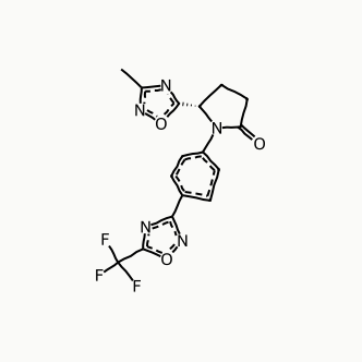 Cc1noc([C@@H]2CCC(=O)N2c2ccc(-c3noc(C(F)(F)F)n3)cc2)n1